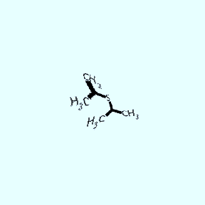 C=C(C)SC(C)C